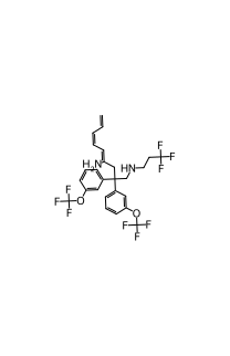 C=C/C=C\C=C(/N)CC(CNCCC(F)(F)F)(c1cccc(OC(F)(F)F)c1)c1cccc(OC(F)(F)F)c1